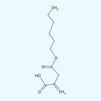 C=C(CC(=O)OCCCCCC)C(=O)O